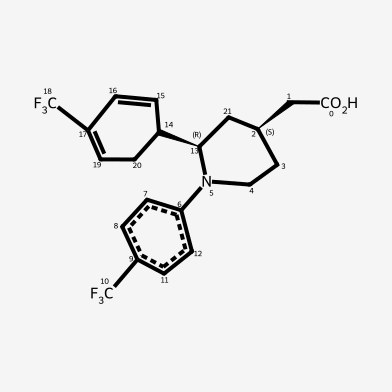 O=C(O)C[C@H]1CCN(c2ccc(C(F)(F)F)cc2)[C@@H](C2C=CC(C(F)(F)F)=CC2)C1